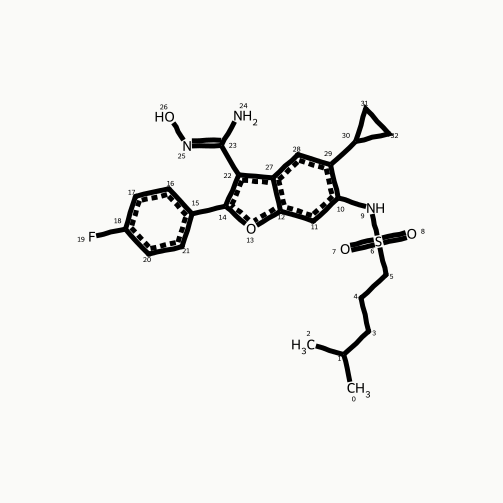 CC(C)CCCS(=O)(=O)Nc1cc2oc(-c3ccc(F)cc3)c(/C(N)=N/O)c2cc1C1CC1